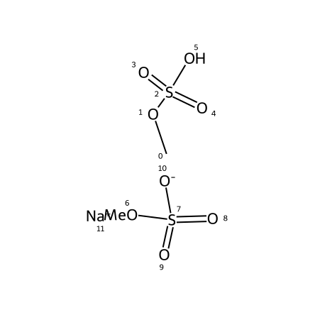 COS(=O)(=O)O.COS(=O)(=O)[O-].[Na+]